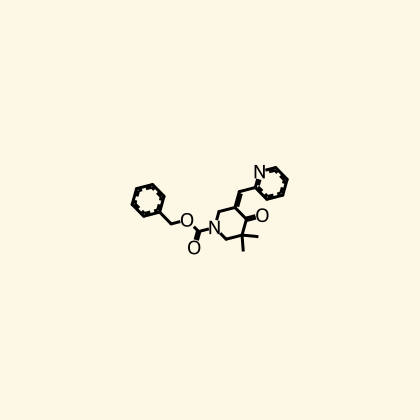 CC1(C)CN(C(=O)OCc2ccccc2)CC(=Cc2ccccn2)C1=O